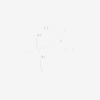 O=S(=O)(O)O.O[Si](O)(O)O.[OH][Al]